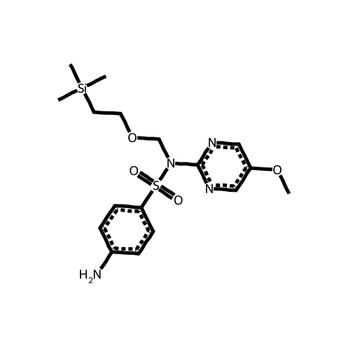 COc1cnc(N(COCC[Si](C)(C)C)S(=O)(=O)c2ccc(N)cc2)nc1